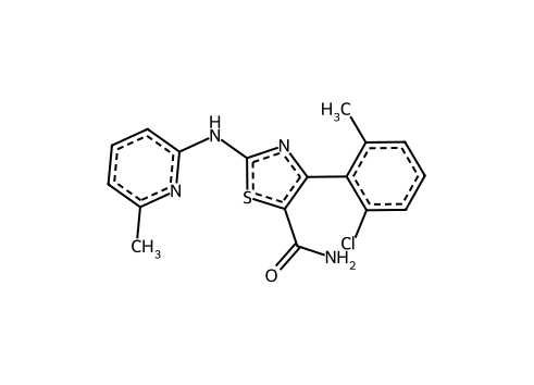 Cc1cccc(Nc2nc(-c3c(C)cccc3Cl)c(C(N)=O)s2)n1